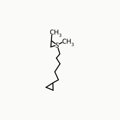 CC1CS1(C)CCCCCC1CC1